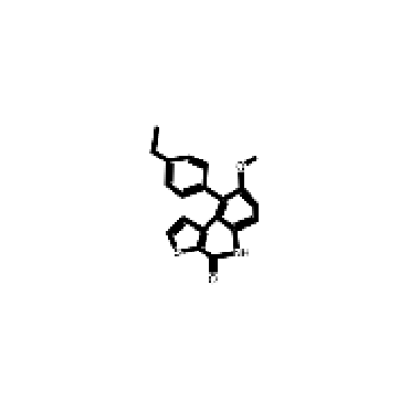 CCc1ccc(-c2c(OC)ccc3[nH]c(=O)c4sccc4c23)cc1